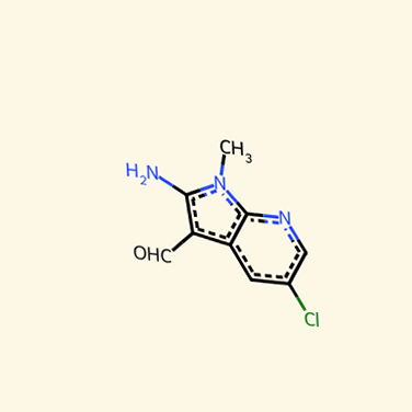 Cn1c(N)c(C=O)c2cc(Cl)cnc21